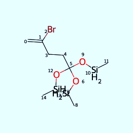 C=C(Br)CCC(O[SiH2]C)(O[SiH2]C)O[SiH2]C